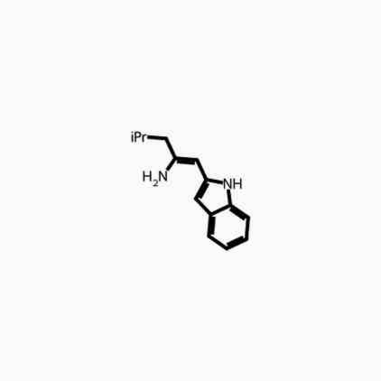 CC(C)C/C(N)=C/c1cc2ccccc2[nH]1